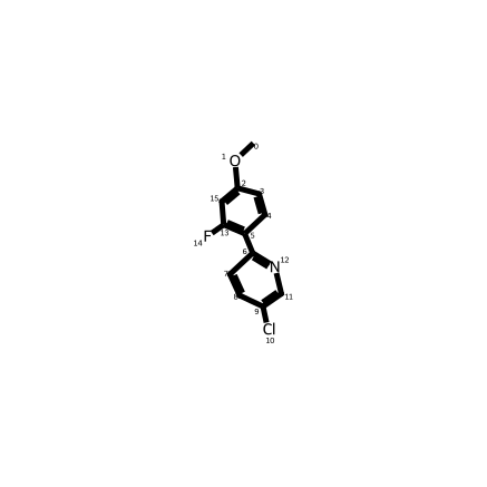 COc1ccc(-c2ccc(Cl)cn2)c(F)c1